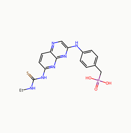 CCNC(=S)Nc1ccc2ncc(Nc3ccc(CP(=O)(O)O)cc3)nc2n1